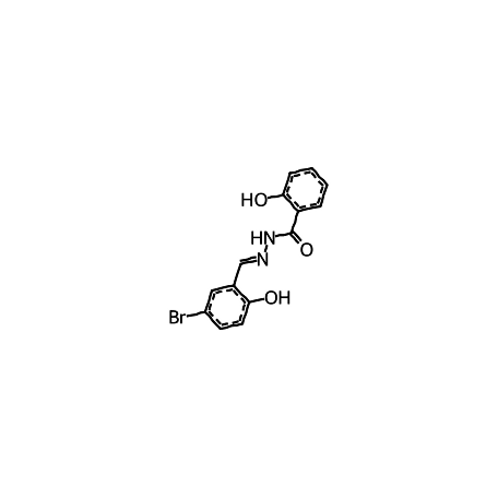 O=C(NN=Cc1cc(Br)ccc1O)c1ccccc1O